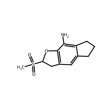 CS(=O)(=O)C1Cc2cc3c(c(N)c2O1)CCC3